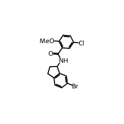 COc1ccc(Cl)cc1C(=O)NC1CCc2ccc(Br)cc21